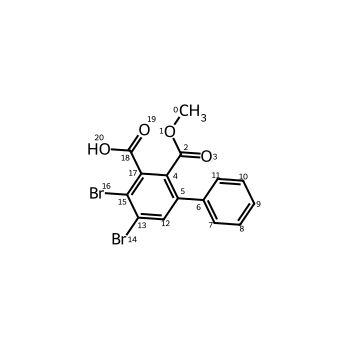 COC(=O)c1c(-c2ccccc2)cc(Br)c(Br)c1C(=O)O